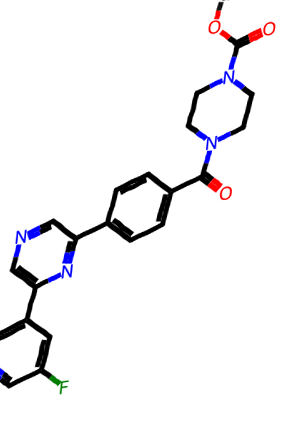 CC(C)(C)OC(=O)N1CCN(C(=O)c2ccc(-c3cncc(-c4cncc(F)c4)n3)cc2)CC1